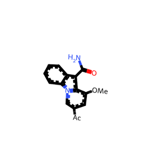 COc1cc(C(C)=O)cn2c1c(C(N)=O)c1ccccc12